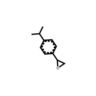 CC(C)c1ccc(C2CO2)cc1